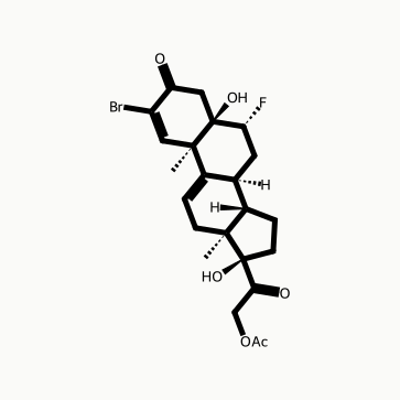 CC(=O)OCC(=O)[C@@]1(O)CC[C@H]2[C@@H]3C[C@@H](F)[C@@]4(O)CC(=O)C(Br)=C[C@]4(C)C3=CC[C@@]21C